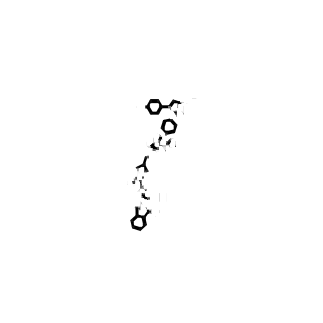 Cc1ccc(-c2cc(C(F)(F)F)nn2-c2ccc(S(=O)(=O)NC(=O)OCC3CN([N+]([O-])=NOC(C)N4C(=O)c5ccccc5C4=O)C3)cc2)cc1